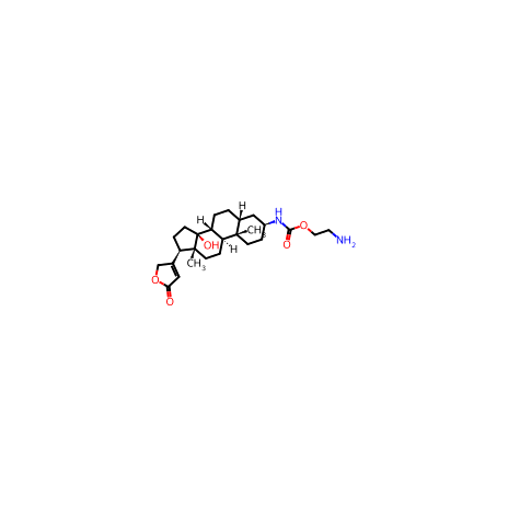 C[C@]12CC[C@H](NC(=O)OCCN)C[C@H]1CC[C@@H]1[C@@H]2CC[C@]2(C)[C@@H](C3=CC(=O)OC3)CC[C@]12O